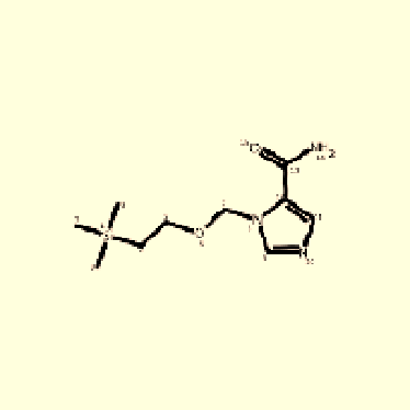 C[Si](C)(C)CCOCn1cncc1C(N)=O